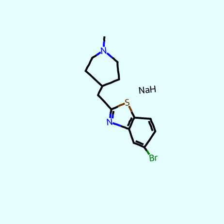 CN1CCC(Cc2nc3cc(Br)ccc3s2)CC1.[NaH]